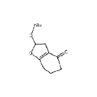 CCCCOC1CC2=C(CCCC2=O)O1